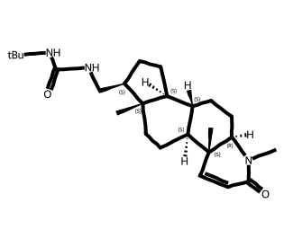 CN1C(=O)C=C[C@]2(C)[C@H]3CC[C@]4(C)[C@@H](CNC(=O)NC(C)(C)C)CC[C@H]4[C@@H]3CC[C@@H]12